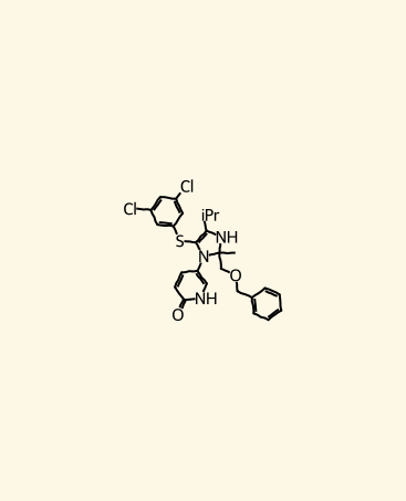 CC(C)C1=C(Sc2cc(Cl)cc(Cl)c2)N(c2ccc(=O)[nH]c2)C(C)(COCc2ccccc2)N1